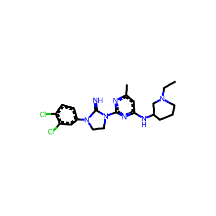 CCN1CCCC(Nc2cc(C)nc(N3CCN(c4ccc(Cl)c(Cl)c4)C3=N)n2)C1